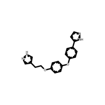 c1cc(-c2ccc(Oc3ccc(OCCc4cn[nH]c4)cc3)cc2)[nH]n1